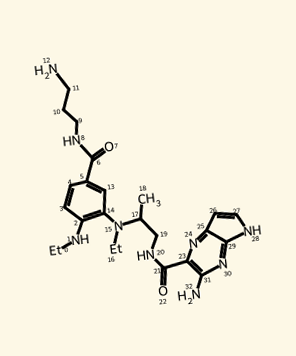 CCNc1ccc(C(=O)NCCCN)cc1N(CC)C(C)CNC(=O)c1nc2cc[nH]c2nc1N